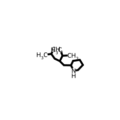 CC(C)CC(CC1CCCCN1)C(C)C